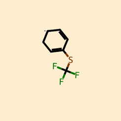 FC(F)(F)SC1=CC[CH]C=C1